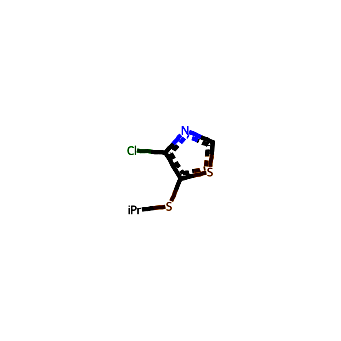 CC(C)Sc1scnc1Cl